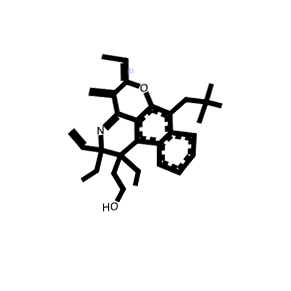 C=CC1(CC)N=C2C(=C)/C(=C\C)Oc3c2c(c2ccccc2c3CC(C)(C)C)C1(CC)CCO